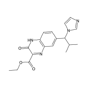 CCOC(=O)c1nc2cc(C(C(C)C)n3ccnc3)ccc2[nH]c1=O